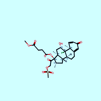 COC(=O)CCC(=O)O[C@]1(C(=O)COS(C)(=O)=O)[C@@H](C)C[C@H]2[C@@H]3CCC4=CC(=O)C=C[C@]4(C)[C@@]3(F)[C@@H](O)C[C@@]21C